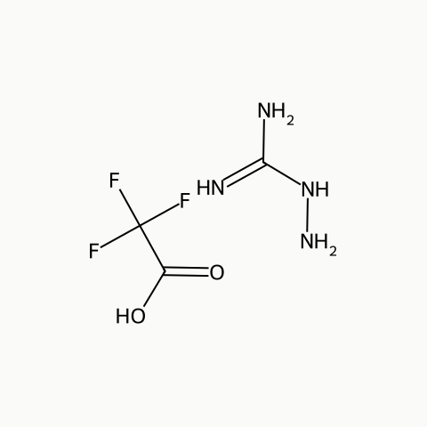 N=C(N)NN.O=C(O)C(F)(F)F